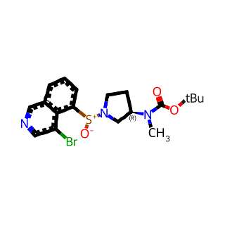 CN(C(=O)OC(C)(C)C)[C@@H]1CCN([S+]([O-])c2cccc3cncc(Br)c23)C1